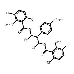 CCCCCc1ccc(N(C(CC)OC(=O)c2c(Cl)ccc(Cl)c2OC)C(CC)OC(=O)c2c(Cl)ccc(Cl)c2OC)cc1